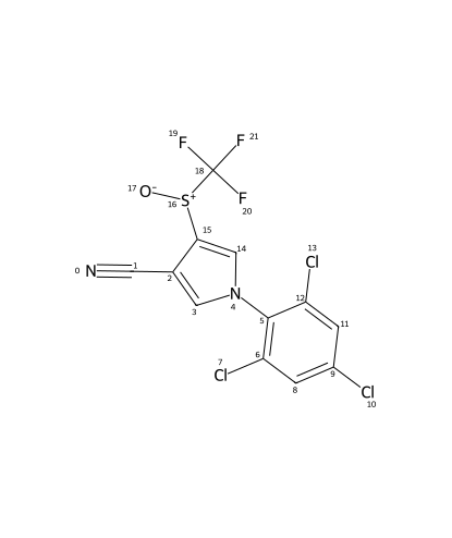 N#Cc1cn(-c2c(Cl)cc(Cl)cc2Cl)cc1[S+]([O-])C(F)(F)F